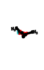 CCCCCCCCOc1ccc(-c2ccccc2)c(C(=O)Oc2ccc(C(=O)OC(CCCCCC)C(F)(F)F)cc2)c1